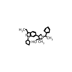 CCc1nn(C2CCCC2)c2cc(C3CN(C(C)c4ccccc4)C[C@@]3(C)CO)ccc12